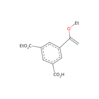 C=C(OCC)c1cc(C(=O)O)cc(C(=O)OCC)c1